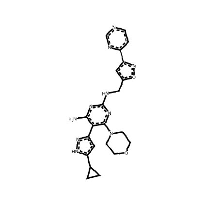 Nc1nc(NCc2cc(-c3ccncn3)no2)nc(N2CCOCC2)c1-c1cc(C2CC2)[nH]n1